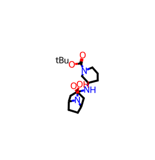 CC(C)(C)OC(=O)N1CCCC(NC(=O)N2C3CCC2CC(O)C3)C1